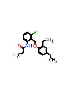 CCC(=O)Nc1cccc(Br)c1COc1ccc(CC)cc1CC